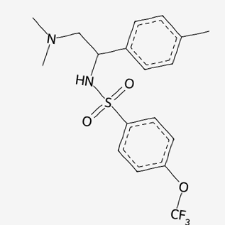 Cc1ccc(C(CN(C)C)NS(=O)(=O)c2ccc(OC(F)(F)F)cc2)cc1